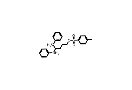 Cc1ccc(S(=O)(=O)OCCCC([SiH2]c2ccccc2)[SiH2]c2ccccc2)cc1